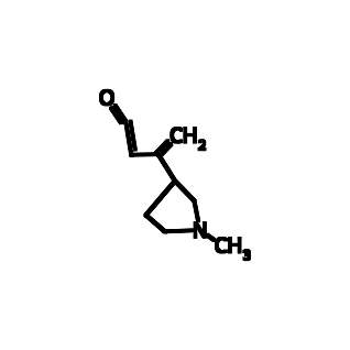 C=C(C=C=O)C1CCN(C)C1